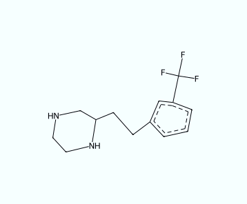 FC(F)(F)c1cccc(CCC2CNCCN2)c1